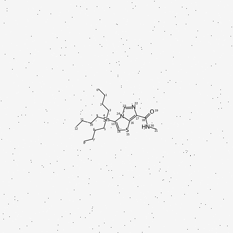 CCC[CH2][Sn]([CH2]CCC)([CH2]CCC)[c]1csc2c(C(=O)NC)ncn12